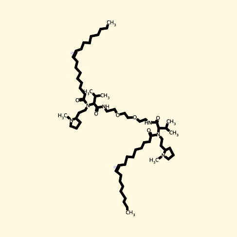 CCCCCCCC/C=C\CCCCCCCC(=O)N(CCC1CCCN1C)C(C(=O)NCCOCCOCCNC(=O)C(C(C)C)N(CCC1CCCN1C)C(=O)CCCCCCC/C=C\CCCCCCCC)C(C)C